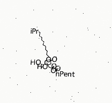 CCCCCC(=O)OC(=O)CC(O)(CC(=O)OCCCCCCCCCCCC(C)C)C(=O)O